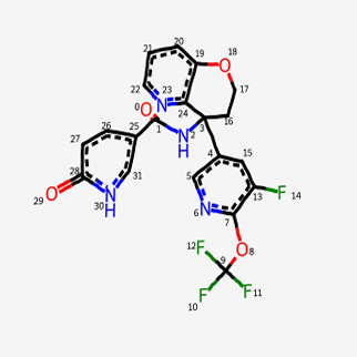 O=C(NC1(c2cnc(OC(F)(F)F)c(F)c2)CCOc2cccnc21)c1ccc(=O)[nH]c1